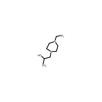 CC(O)CN1CCN(CN)CC1